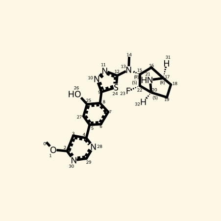 COc1cc(-c2ccc(-c3nnc(N(C)[C@@H]4C[C@H]5CC[C@H](N5)[C@@H]4F)s3)c(O)c2)ncn1